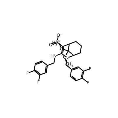 COC1(OC)C2CCCC1N(Cc1ccc(F)c(F)c1)C(NCc1ccc(F)c(F)c1)=C2[N+](=O)[O-]